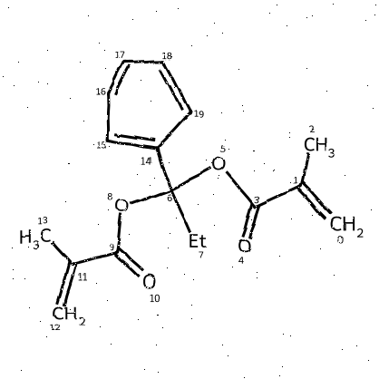 C=C(C)C(=O)OC(CC)(OC(=O)C(=C)C)c1ccccc1